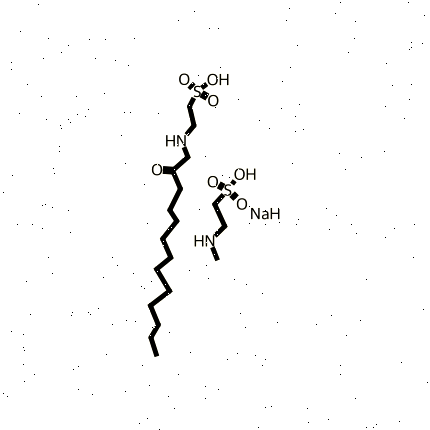 CCCCCCCCCCCC(=O)CNCCS(=O)(=O)O.CNCCS(=O)(=O)O.[NaH]